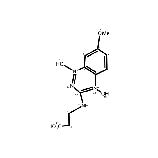 COc1ccc2c(c1)[n+](O)nc(NCCC(=O)O)[n+]2O